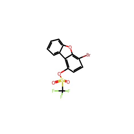 O=S(=O)(Oc1ccc(Br)c2oc3ccccc3c12)C(F)(F)F